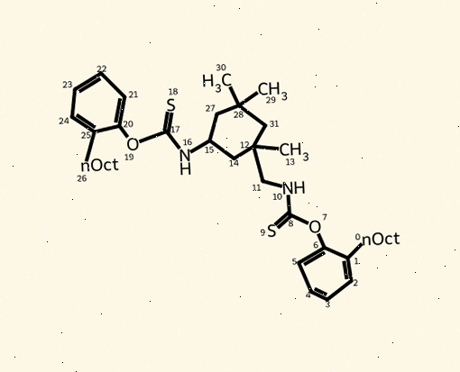 CCCCCCCCc1ccccc1OC(=S)NCC1(C)CC(NC(=S)Oc2ccccc2CCCCCCCC)CC(C)(C)C1